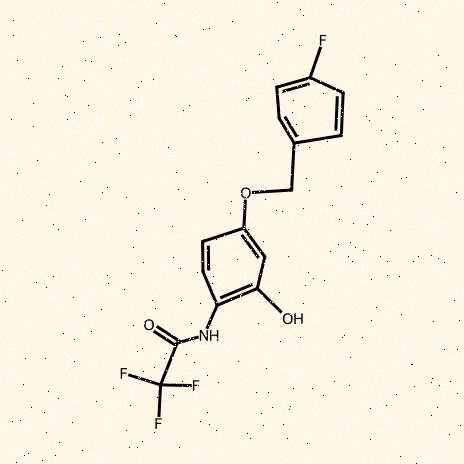 O=C(Nc1ccc(OCc2ccc(F)cc2)cc1O)C(F)(F)F